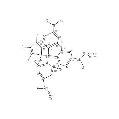 CC1=C(C)[C]([Ti+3])([Si](c2c(C)cc(N(C)C)cc2C)(c2c(C)cc(N(C)C)cc2C)c2c(C)cc(N(C)C)cc2C)C(C)=C1C.[Cl-].[Cl-].[Cl-]